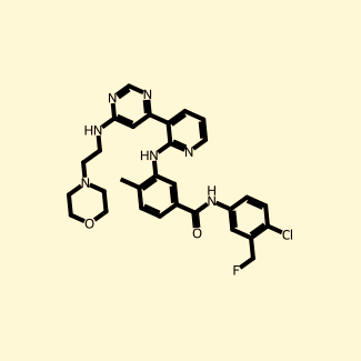 Cc1ccc(C(=O)Nc2ccc(Cl)c(CF)c2)cc1Nc1ncccc1-c1cc(NCCN2CCOCC2)ncn1